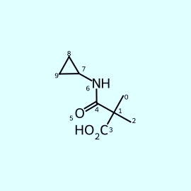 CC(C)(C(=O)O)C(=O)NC1CC1